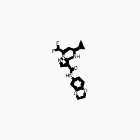 O=C(Nc1ccc2c(c1)OCCO2)c1cnn2c1NC(=C1CC1)C=C2C(F)F